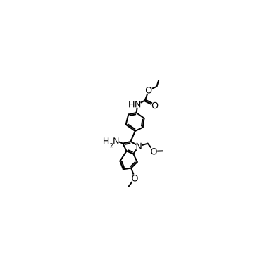 CCOC(=O)Nc1ccc(-c2c(N)c3ccc(OC)cc3n2COC)cc1